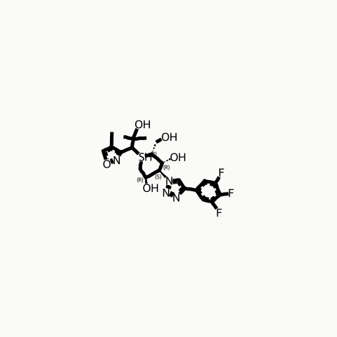 Cc1conc1C([SH]1C[C@H](O)[C@H](n2cc(-c3cc(F)c(F)c(F)c3)nn2)[C@@H](O)[C@H]1CO)C(C)(C)O